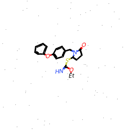 CCOC(=N)SC1CCC(=O)N1Cc1ccc(Oc2ccccc2)cc1